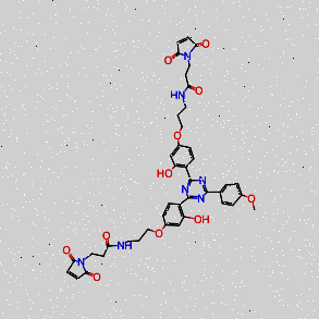 COc1ccc(-c2nc(-c3ccc(OCCCNC(=O)CCN4C(=O)C=CC4=O)cc3O)nc(-c3ccc(OCCCNC(=O)CCN4C(=O)C=CC4=O)cc3O)n2)cc1